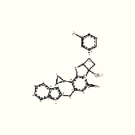 O=C(O)C12C[C@@H](c3cccc(Cl)c3)C1Sc1c(C3CC3)c(Cc3cc4ccccc4s3)cc(=O)n12